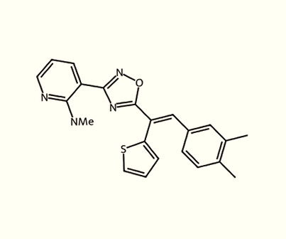 CNc1ncccc1-c1noc(/C(=C/c2ccc(C)c(C)c2)c2cccs2)n1